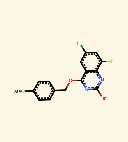 COc1ccc(COc2nc(Br)nc3c(F)cc(Cl)cc23)cc1